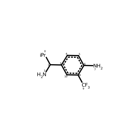 CC(C)C(N)c1ccc(N)c(C(F)(F)F)c1